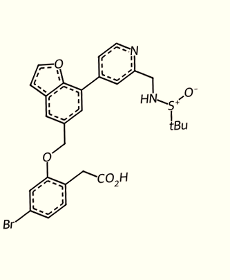 CC(C)(C)[S+]([O-])NCc1cc(-c2cc(COc3cc(Br)ccc3CC(=O)O)cc3ccoc23)ccn1